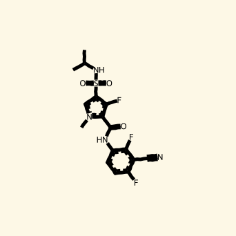 CC(C)NS(=O)(=O)c1cn(C)c(C(=O)Nc2ccc(F)c(C#N)c2F)c1F